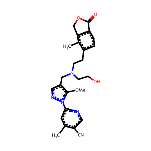 COc1c(CN(CCO)CCc2ccc3c(c2C)COC3=O)cnn1-c1cc(C)c(C#N)cn1